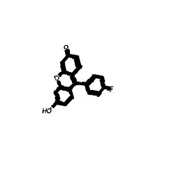 O=c1ccc2c(-c3ccc(F)cc3)c3ccc(O)cc3oc-2c1